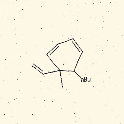 C=CC1(C)C=CC=CC1CCCC